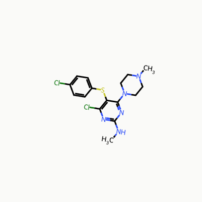 CNc1nc(Cl)c(Sc2ccc(Cl)cc2)c(N2CCN(C)CC2)n1